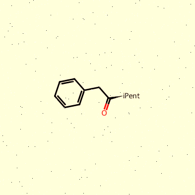 CCC[C@H](C)C(=O)Cc1ccccc1